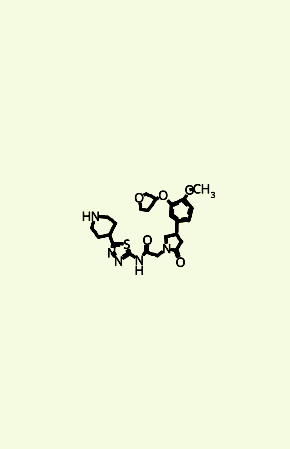 COc1ccc(C2CC(=O)N(CC(=O)Nc3nnc(C4CCNCC4)s3)C2)cc1OC1CCOC1